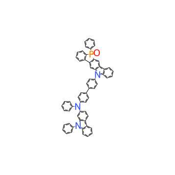 O=P1(c2ccccc2)c2ccccc2-c2cc3c(cc21)c1ccccc1n3-c1ccc(-c2ccc(N(c3ccccc3)c3ccc4c5ccccc5n(-c5ccccc5)c4c3)cc2)cc1